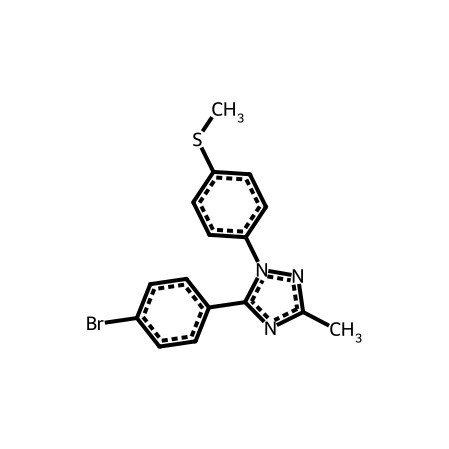 CSc1ccc(-n2nc(C)nc2-c2ccc(Br)cc2)cc1